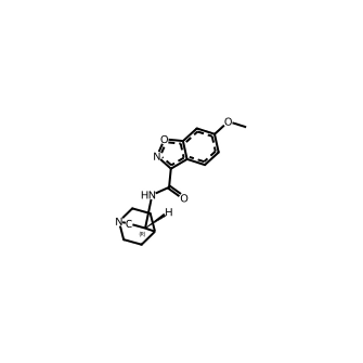 COc1ccc2c(C(=O)N[C@H]3CN4CCC3CC4)noc2c1